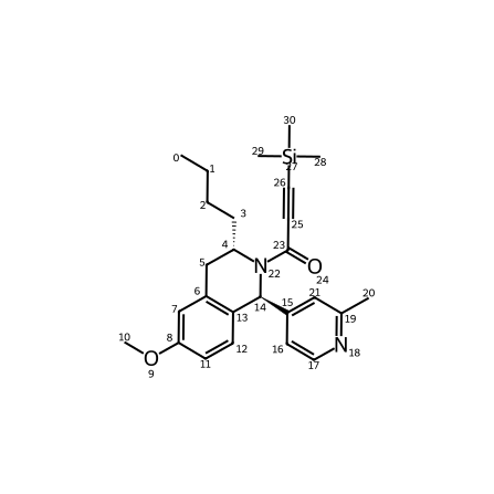 CCCC[C@H]1Cc2cc(OC)ccc2[C@H](c2ccnc(C)c2)N1C(=O)C#C[Si](C)(C)C